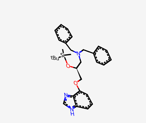 CC(C)(C)[Si](C)(C)O[C@H](COc1cccc2[nH]cnc12)CN(Cc1ccccc1)Cc1ccccc1